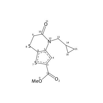 COC(=O)c1cc2c(s1)SCC(=O)N2CC1CC1